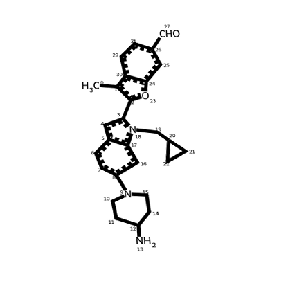 Cc1c(-c2cc3ccc(N4CCC(N)CC4)cc3n2CC2CC2)oc2cc(C=O)ccc12